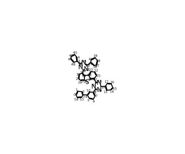 c1ccc(-c2cccc(-c3nc(-c4ccccc4)nc(-c4cccc5c4sc4cccc(-c6nc(-c7ccccc7)nc(-c7ccccc7)n6)c45)n3)c2)cc1